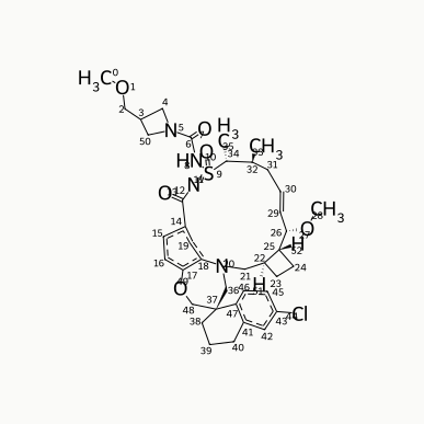 COCC1CN(C(=O)NS2(=O)=NC(=O)c3ccc4c(c3)N(C[C@@H]3CC[C@H]3[C@@H](OC)/C=C/C[C@H](C)[C@H]2C)C[C@@]2(CCCc3cc(Cl)ccc32)CO4)C1